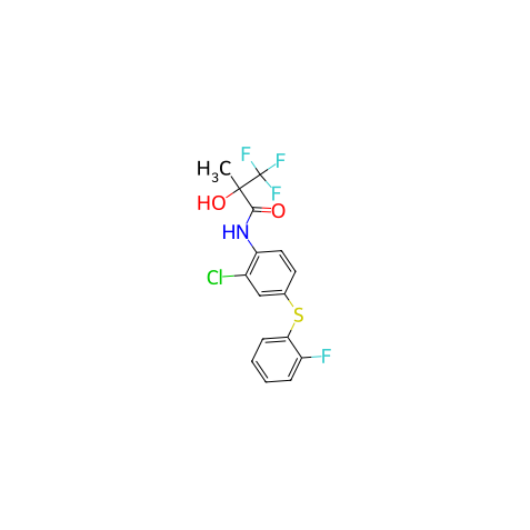 CC(O)(C(=O)Nc1ccc(Sc2ccccc2F)cc1Cl)C(F)(F)F